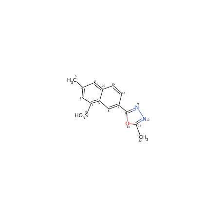 Cc1cc(S(=O)(=O)O)c2cc(-c3nnc(C)o3)ccc2c1